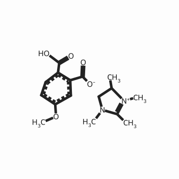 CC1=[N+](C)C(C)CN1C.COc1ccc(C(=O)O)c(C(=O)[O-])c1